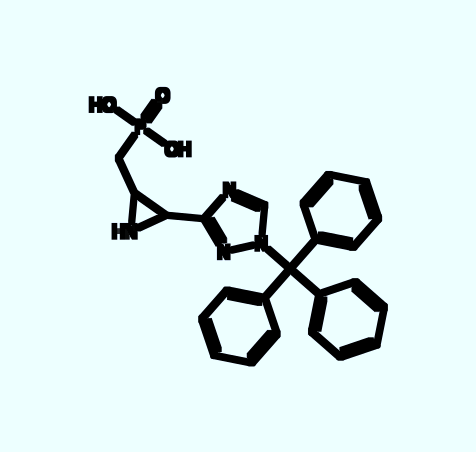 O=P(O)(O)CC1NC1c1ncn(C(c2ccccc2)(c2ccccc2)c2ccccc2)n1